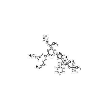 COCCN(CC1CC1C)c1cc(-c2ncc([C@@](C)(Cc3ccccc3)NC(=O)OC(C)(C)C)o2)cc(N(C)SOOC)n1